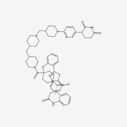 O=C1CCC(c2ccc(N3CCC(CN4CCC(CC5CCN(C(=O)C6(Oc7ccccc7-c7nc8cccc(Cl)c8s7)CCN(C(=O)[C@H]7CC(=O)Nc8ccccc87)CC6)CC5)CC4)CC3)nc2)C(=O)N1